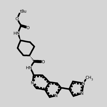 Cn1cc(-c2cc3cc(NC(=O)[C@H]4CC[C@H](NC(=O)OC(C)(C)C)CC4)ncc3cn2)cn1